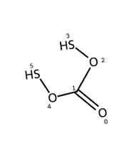 O=C(OS)OS